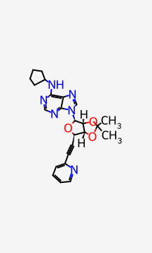 CC1(C)O[C@@H]2[C@H](O1)[C@@H](C#Cc1ccccn1)O[C@H]2n1cnc2c(NC3CCCC3)ncnc21